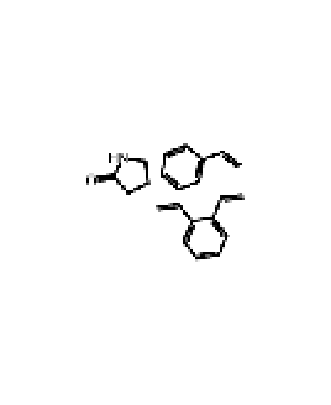 C=Cc1ccccc1.C=Cc1ccccc1C=C.O=C1CCCN1